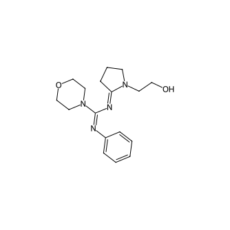 OCCN1CCCC1=NC(=Nc1ccccc1)N1CCOCC1